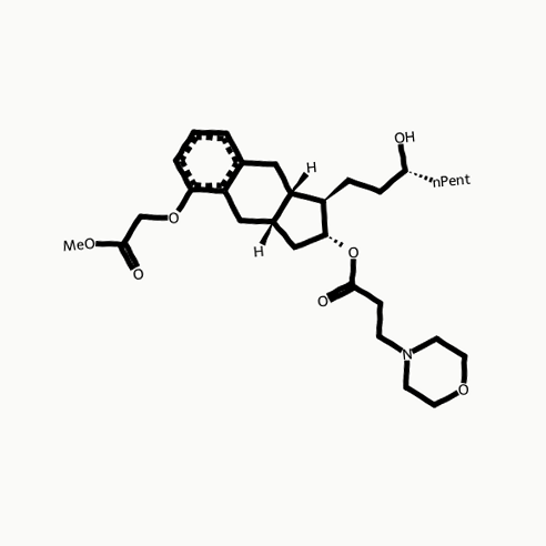 CCCCC[C@@H](O)CC[C@@H]1[C@H]2Cc3cccc(OCC(=O)OC)c3C[C@H]2C[C@H]1OC(=O)CCN1CCOCC1